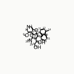 COc1cncc2c1C[C@](c1ccc(C)cc1)([C@H](c1ccccc1)[C@@H](C(=O)N(C)C)[C@@H](O)CO)O2